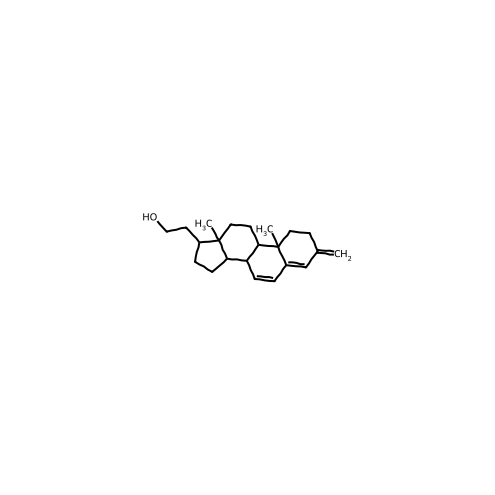 C=C1C=C2C=CC3C(CCC4(C)C(CCO)CCC34)C2(C)CC1